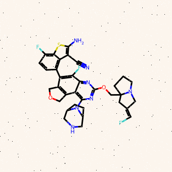 N#Cc1c(N)sc2c(F)ccc(-c3c4c(c5c(N6C7CCC6CNC7)nc(OCC67CCCN6CC(=CF)C7)nc5c3F)COC4)c12